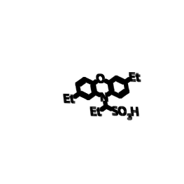 CCc1ccc2c(c1)Oc1ccc(CC)cc1N2C(CC)S(=O)(=O)O